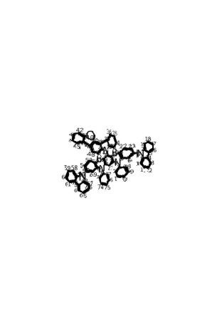 c1ccc(N2c3cc(-n4c5ccccc5c5ccccc54)ccc3B3c4c2cc2c5c4-n4c6c3cccc6c3c6oc7ccccc7c6cc(c34)B5c3ccc(-n4c5ccccc5c5ccccc54)cc3N2c2ccccc2)cc1